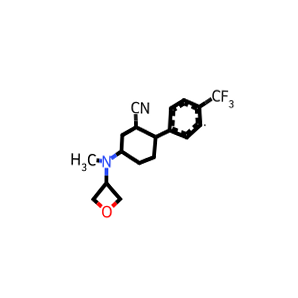 CN(C1COC1)C1CCC(c2c[c]c(C(F)(F)F)cc2)C(C#N)C1